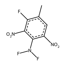 Cc1cc([N+](=O)[O-])c(N(F)F)c([N+](=O)[O-])c1F